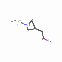 O=C(O)N1CC(CCI)C1